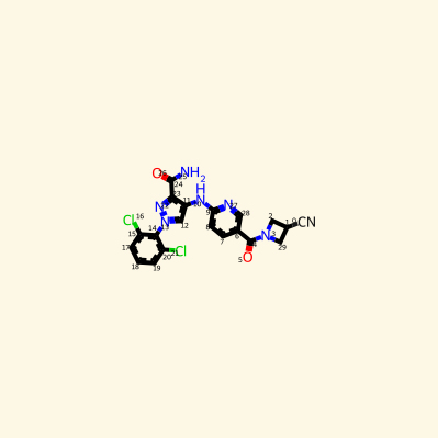 N#CC1CN(C(=O)c2ccc(Nc3cn(-c4c(Cl)cccc4Cl)nc3C(N)=O)nc2)C1